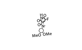 COC1CCC(N(C)C(=O)n2cc(F)c(=O)[nH]c2=O)CC1OC